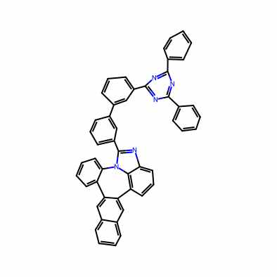 c1ccc(-c2nc(-c3ccccc3)nc(-c3cccc(-c4cccc(-c5nc6cccc7c6n5-c5ccccc5-c5cc6ccccc6cc5-7)c4)c3)n2)cc1